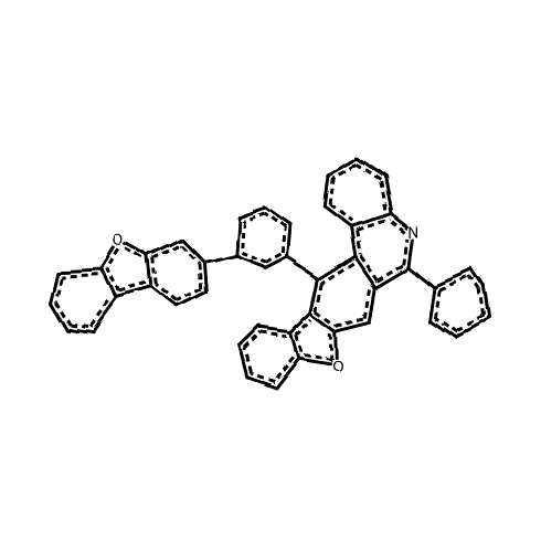 c1ccc(-c2nc3ccccc3c3c(-c4cccc(-c5ccc6c(c5)oc5ccccc56)c4)c4c(cc23)oc2ccccc24)cc1